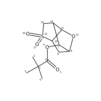 CC(C)(C)C(=O)OC1C2CC3C(O2)C1CS3(=O)=O